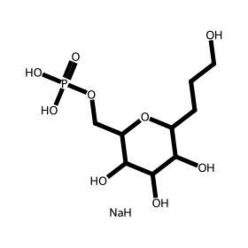 O=P(O)(O)OCC1OC(CCCO)C(O)C(O)C1O.[NaH]